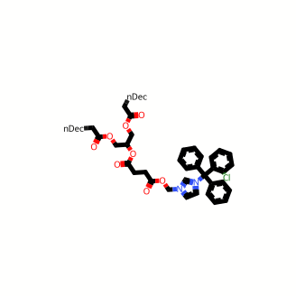 CCCCCCCCCCCC(=O)OCC(COC(=O)CCCCCCCCCCC)OC(=O)CCC(=O)OC[n+]1ccn(C(c2ccccc2)(c2ccccc2)c2ccccc2Cl)c1